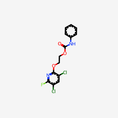 O=C(Nc1ccccc1)OCCOc1nc(F)c(Cl)cc1Cl